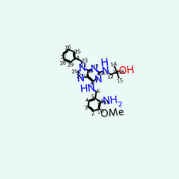 COc1cccc(CNc2nc(NCC(C)(C)O)nc3c2ncn3Cc2ccccc2)c1N